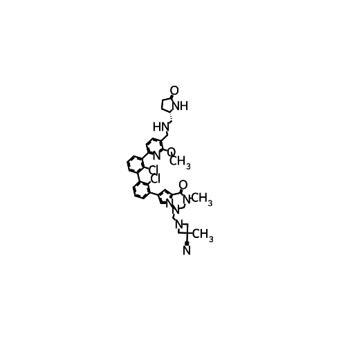 COc1nc(-c2cccc(-c3cccc(-c4cc5n(c4)N(CN4CC(C)(C#N)C4)CN(C)C5=O)c3Cl)c2Cl)ccc1CNC[C@@H]1CCC(=O)N1